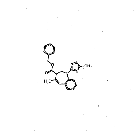 CC1=Cc2ccccc2N(n2ccc(O)n2)CC1C(=O)OCc1ccccc1